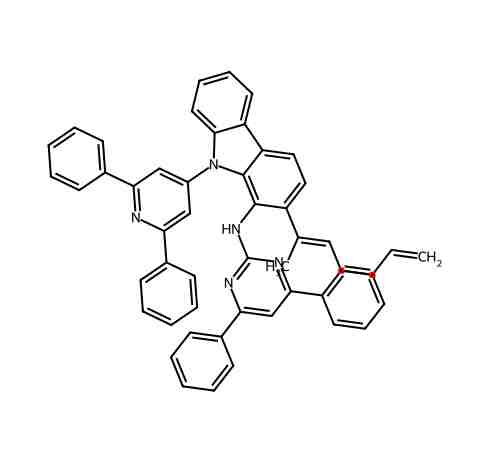 C=C/C=C\C=C(/C)c1ccc2c3ccccc3n(-c3cc(-c4ccccc4)nc(-c4ccccc4)c3)c2c1Nc1nc(-c2ccccc2)cc(-c2ccccc2)n1